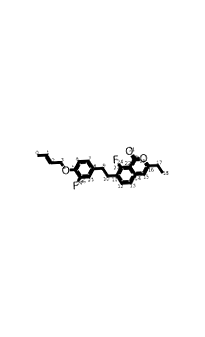 C/C=C/COc1ccc(CCc2ccc3cc(CC)oc(=O)c3c2F)cc1F